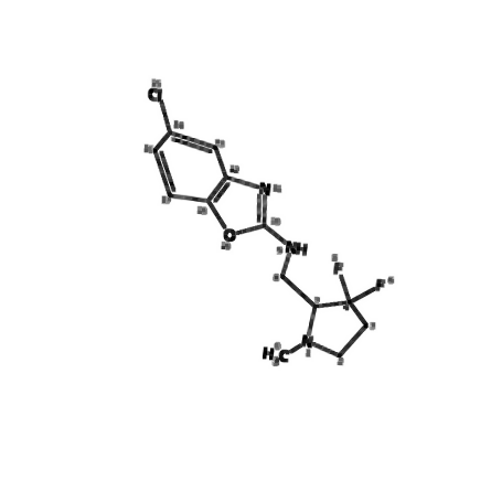 CN1CCC(F)(F)C1CNc1nc2cc(Cl)ccc2o1